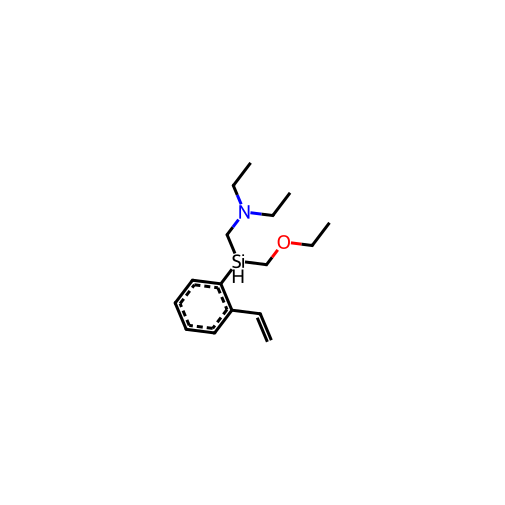 C=Cc1ccccc1[SiH](COCC)CN(CC)CC